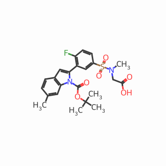 Cc1ccc2cc(-c3cc(S(=O)(=O)N(C)CC(=O)O)ccc3F)n(C(=O)OC(C)(C)C)c2c1